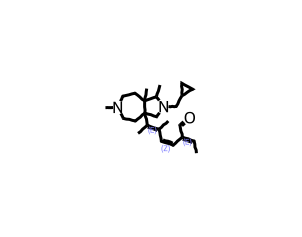 C\C=C(C=O)/C=C\C(C)=C(/C)C12CCN(C)CCC1(C)C(C)N(CC1CC1)C2